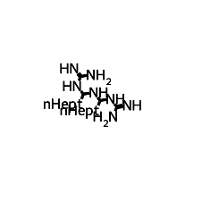 CCCCCCCC(NC(=N)N)NC(CCCCCCC)NC(=N)N